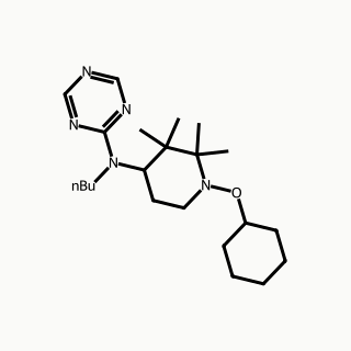 CCCCN(c1ncncn1)C1CCN(OC2CCCCC2)C(C)(C)C1(C)C